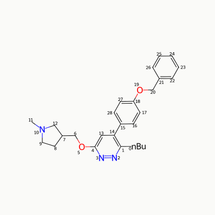 CCCCc1nnc(OCC2CCN(C)C2)cc1-c1ccc(OCc2ccccc2)cc1